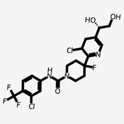 O=C(Nc1ccc(C(F)(F)F)c(Cl)c1)N1CCC(F)(C2=NC=C([C@H](O)CO)CC2Cl)CC1